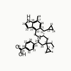 CCC1(C2CC2)CCN(Cc2c(CC3CC3)cc(C)c3[nH]ccc23)[C@H](c2ccc(C(=O)O)cc2)C1